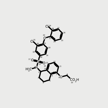 CN(C1CCCc2c(OCC(=O)O)cccc21)S(=O)(=O)c1ccc(Oc2ccccc2Cl)c(Cl)c1